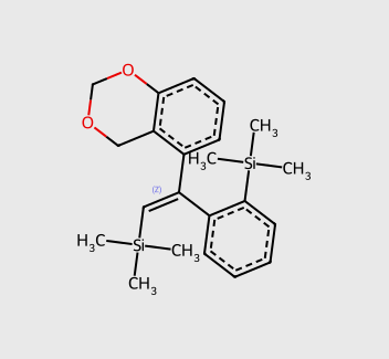 C[Si](C)(C)/C=C(\c1ccccc1[Si](C)(C)C)c1cccc2c1COCO2